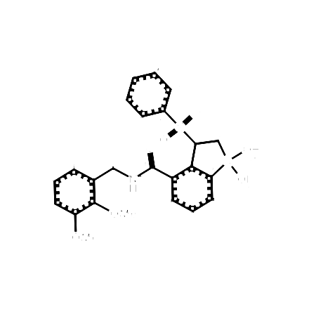 COc1cccc(CNC(=O)c2cccc3c2C(S(=O)(=O)c2ccccc2)CS3(O)O)c1OC